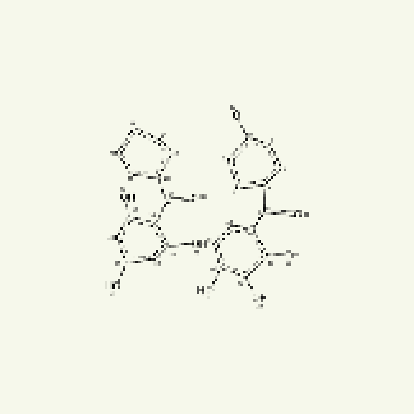 O=C(c1ccc(O)cc1)c1ccc(O)c(O)c1O.O=C(c1ccccc1)c1c(O)cc(O)cc1O